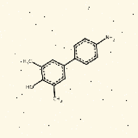 Cc1cc(-c2ccc(N)cc2)cc(C)c1O